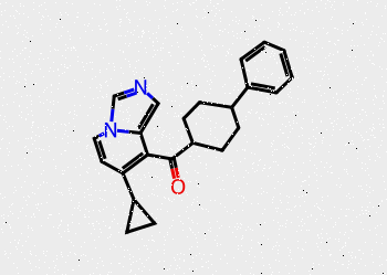 O=C(c1c(C2CC2)ccn2cncc12)C1CCC(c2ccccc2)CC1